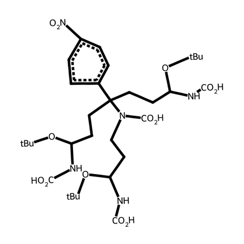 CC(C)(C)OC(CCN(C(=O)O)C(CCC(NC(=O)O)OC(C)(C)C)(CCC(NC(=O)O)OC(C)(C)C)c1ccc([N+](=O)[O-])cc1)NC(=O)O